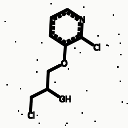 OC(CCl)COc1cccnc1Cl